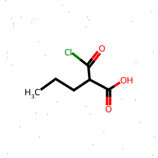 CCCC(C(=O)O)C(=O)Cl